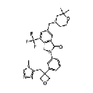 Cn1cnnc1CC1(c2cccc(N3Cc4c(cc(CN5CCOC(C)(C)C5)cc4C(F)(F)F)C3=O)c2)COC1